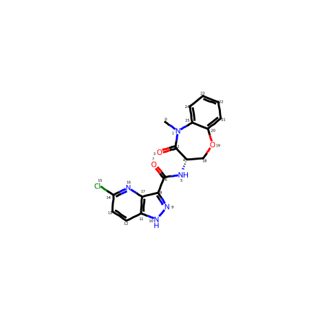 CN1C(=O)[C@@H](NC(=O)c2n[nH]c3ccc(Cl)nc23)COc2ccccc21